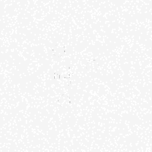 [Br][Zr]([O]Cc1ccccc1)([O]Cc1ccccc1)[O]Cc1ccccc1